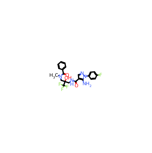 CN(CC(O)(CNC(=O)c1cnn(-c2ccc(F)cc2)c1N)C(F)(F)F)C(=O)c1ccccc1